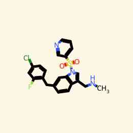 CNCc1cn(S(=O)(=O)c2cccnc2)c2cc(Cc3ccc(Cl)cc3F)ccc12